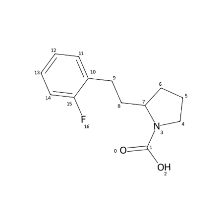 O=C(O)N1CCCC1CCc1ccccc1F